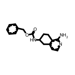 Nc1nccc2c1CCC(NC(=O)OCc1ccccc1)C2